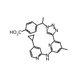 Cc1cc(Nc2cc(C3CC3)ccn2)nc(-c2cn(C(C)c3ccc(C(=O)O)cc3)nn2)c1